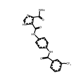 CNC(=O)c1nc[nH]c1C(=O)Nc1ccc(NC(=O)c2cccc(C(F)(F)F)c2)cc1